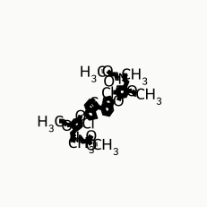 CCOc1cc(O[C@H]2CCc3c(-c4cccc5c4CC[C@@H]5Oc4cc(OCC)c(CN(C)CCC(=O)OC)cc4Cl)cccc32)c(Cl)cc1CN(C)CCC(=O)OC